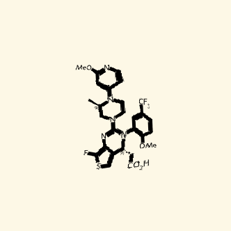 COc1cc(N2CCN(C3=Nc4c(csc4F)[C@@H](CC(=O)O)N3c3cc(C(F)(F)F)ccc3OC)C[C@H]2C)ccn1